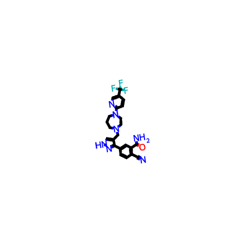 N#Cc1ccc(-c2n[nH]cc2CN2CCCN(c3ccc(C(F)(F)F)cn3)CC2)cc1C(N)=O